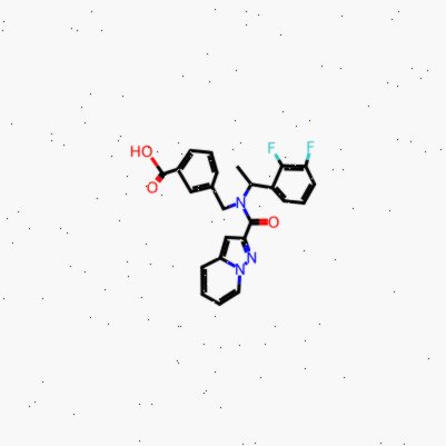 CC(c1cccc(F)c1F)N(Cc1cccc(C(=O)O)c1)C(=O)c1cc2ccccn2n1